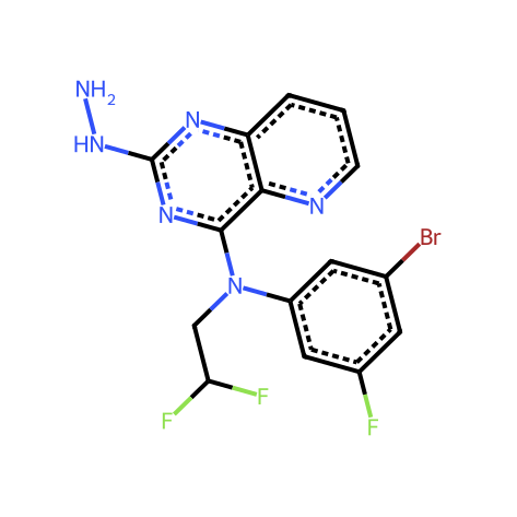 NNc1nc(N(CC(F)F)c2cc(F)cc(Br)c2)c2ncccc2n1